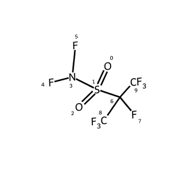 O=S(=O)(N(F)F)C(F)(C(F)(F)F)C(F)(F)F